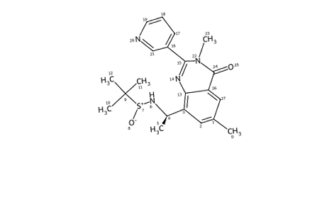 Cc1cc([C@@H](C)N[S+]([O-])C(C)(C)C)c2nc(-c3cccnc3)n(C)c(=O)c2c1